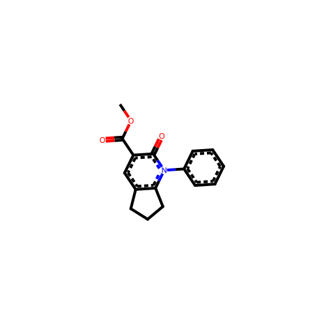 COC(=O)c1cc2c(n(-c3ccccc3)c1=O)CCC2